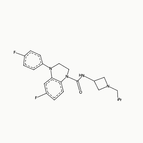 CC(C)CN1CC(NC(=O)N2CCN(c3ccc(F)cc3)c3cc(F)ccc32)C1